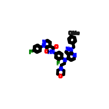 COc1ccc(Cn2ncc3c(N(CCN4CCOCC4)c4ccc(NC(=O)c5ccnn(-c6ccc(F)cc6)c5=O)cc4F)ccnc32)cc1